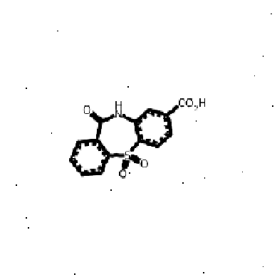 O=C(O)c1ccc2c(c1)NC(=O)c1ccccc1S2(=O)=O